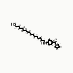 O=C(c1ccc(NCCCCCCCCCCCCCCCCS)cc1)N1CCCC1